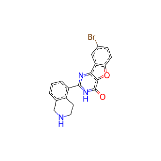 O=c1[nH]c(-c2cccc3c2CCNC3)nc2c1oc1ccc(Br)cc12